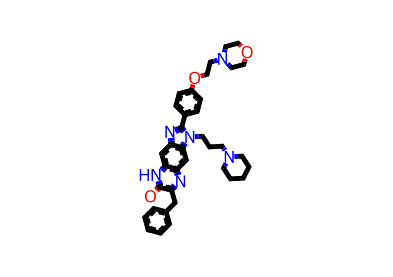 O=c1[nH]c2cc3nc(-c4ccc(OCCN5CCOCC5)cc4)n(CCCN4CCCCC4)c3cc2nc1Cc1ccccc1